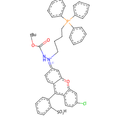 CC(C)(C)OC(=O)N/[N+](CCCC[P+](c1ccccc1)(c1ccccc1)c1ccccc1)=c1\ccc2c(-c3ccccc3S(=O)(=O)O)c3ccc(Cl)cc3oc-2c1